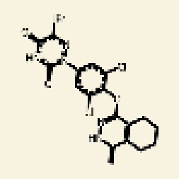 C=C1NN=C(Oc2c(Cl)cc(-n3nc(C(C)C)c(=O)[nH]c3=O)cc2Cl)C2=C1CCCC2